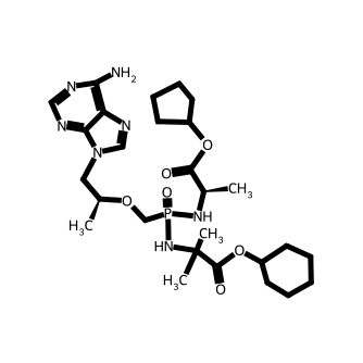 C[C@@H](Cn1cnc2c(N)ncnc21)OCP(=O)(N[C@H](C)C(=O)OC1CCCC1)NC(C)(C)C(=O)OC1CCCCC1